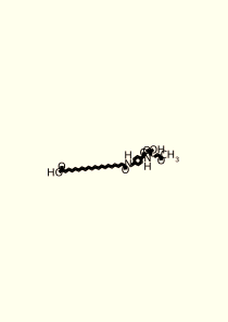 CC(=O)CC[C@H](NC(=O)C1CCC(CNC(=O)CCCCCCCCCCCCCCCCCCC(=O)O)CC1)C(=O)O